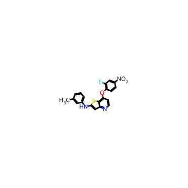 Cc1cccc(Nc2cc3nccc(Oc4ccc([N+](=O)[O-])cc4F)c3s2)c1